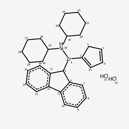 C1=CC[C]([Zr]([CH]2c3ccccc3-c3ccccc32)[SiH](C2CCCCC2)C2CCCCC2)=C1.Cl.Cl